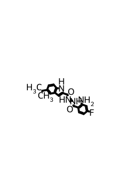 CC(C)c1ccc2[nH]c(C(=O)NNC(=O)c3ccc(F)cc3N)cc2c1